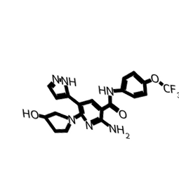 Nc1nc(N2CCC(O)C2)c(-c2ccn[nH]2)cc1C(=O)Nc1ccc(OC(F)(F)F)cc1